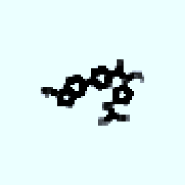 CCC(O)N[C@H]1CC[C@@H](N(C)C(=O)c2ccc(-c3ccc4c(ccn4C)c3)cn2)C1